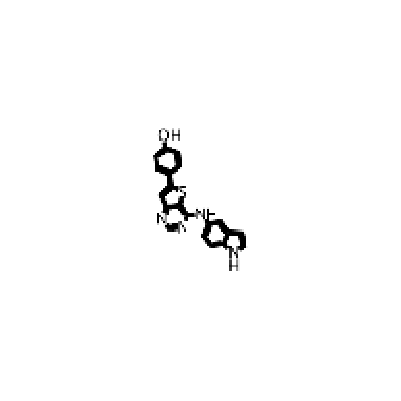 Oc1ccc(-c2cc3ncnc(Nc4ccc5[nH]ccc5c4)c3s2)cc1